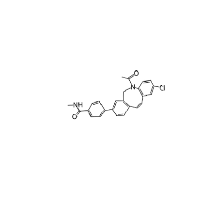 CNC(=O)c1ccc(-c2ccc3c(c2)CN(C(C)=O)c2ccc(Cl)cc2C=C3)cc1